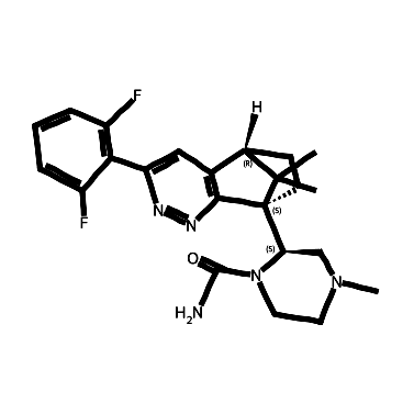 CN1CCN(C(N)=O)[C@@H]([C@@]23CC[C@@H](c4cc(-c5c(F)cccc5F)nnc42)C3(C)C)C1